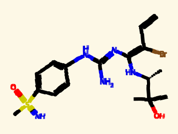 C=C/C(Br)=C(\N=C(/N)Nc1ccc(S(C)(=N)=O)cc1)N[C@H](C)C(C)(C)O